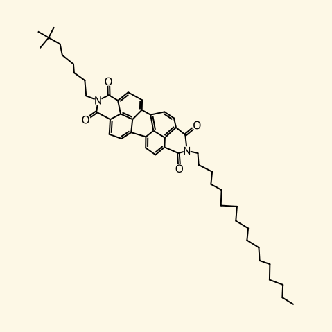 CCCCCCCCCCCCCCCCCN1C(=O)c2ccc3c4ccc5c6c(ccc(c7ccc(c2c37)C1=O)c64)C(=O)N(CCCCCCC(C)(C)C)C5=O